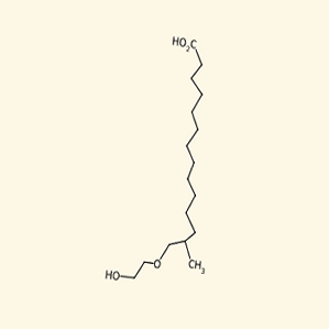 CC(CCCCCCCCCCCC(=O)O)COCCO